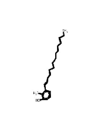 CCCCCCCCCCCCCC=Cc1cccc(O)c1C